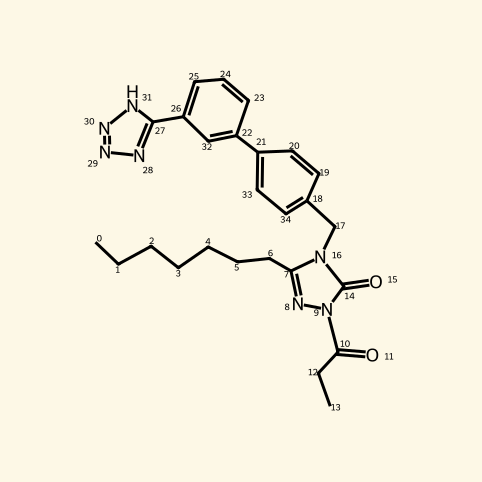 CCCCCCCc1nn(C(=O)CC)c(=O)n1Cc1ccc(-c2cccc(-c3nnn[nH]3)c2)cc1